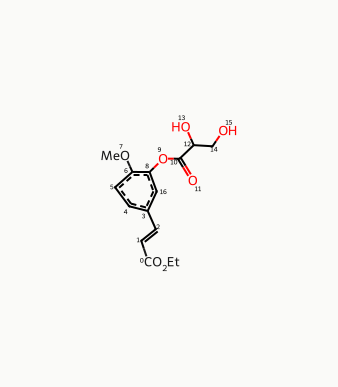 CCOC(=O)C=Cc1ccc(OC)c(OC(=O)C(O)CO)c1